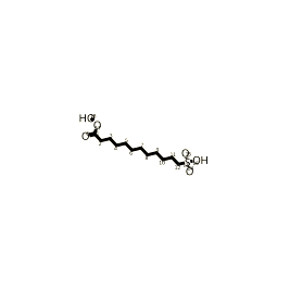 O=C(CCCCCCCCCCCS(=O)(=O)O)OO